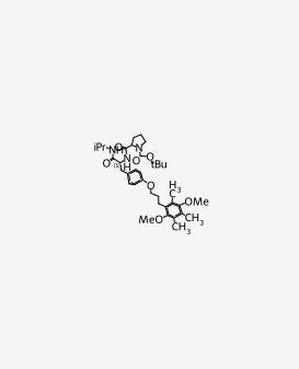 COc1c(C)c(C)c(OC)c(CCCOc2ccc(C[C@H](NC(=O)C3CCCN3C(=O)OC(C)(C)C)C(=O)NC(C)C)cc2)c1C